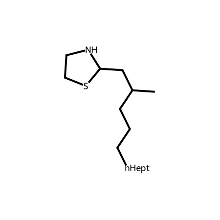 CCCCCCCCCCC(C)CC1NCCS1